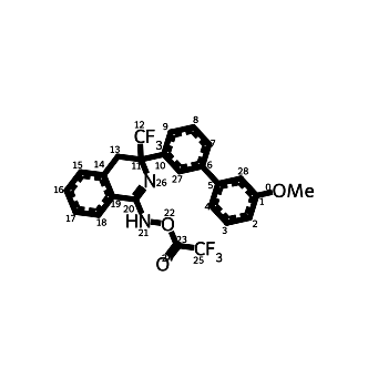 COc1cccc(-c2cccc(C3(C(F)(F)F)Cc4ccccc4C(NOC(=O)C(F)(F)F)=N3)c2)c1